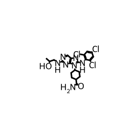 CC(O)CNc1ncc2nc(Nc3c(Cl)cc(Cl)cc3Cl)n(C3CCC(C(N)=O)CC3)c2n1